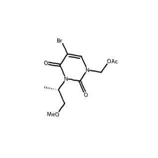 COC[C@H](C)n1c(=O)c(Br)cn(COC(C)=O)c1=O